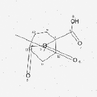 O=C1OC(=O)C2(C(=O)O)CCC1CC2